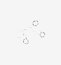 Cc1cccc(C)c1OCCC(CCCC1CCCCCCC1(C)Cc1ccccc1)c1ccccc1